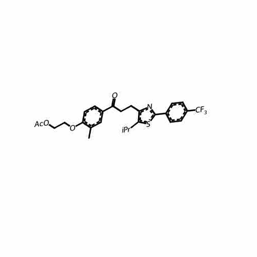 CC(=O)OCCOc1ccc(C(=O)CCc2nc(-c3ccc(C(F)(F)F)cc3)sc2C(C)C)cc1C